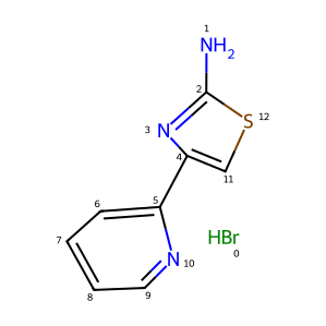 Br.Nc1nc(-c2ccccn2)cs1